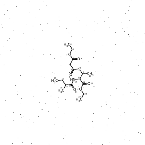 CCOC(=O)CC(=O)SC(C)C(NC(=O)C(C)CC)C(=O)OCC